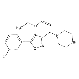 CCOC=O.Clc1cccc(-c2nc(CN3CCNCC3)no2)c1